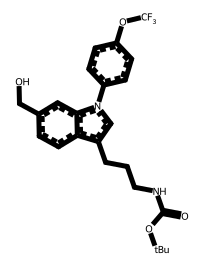 CC(C)(C)OC(=O)NCCCc1cn(-c2ccc(OC(F)(F)F)cc2)c2cc(CO)ccc12